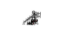 C=C1CC[C@@]2(O)[C@H]3Cc4ccc(O)c5c4[C@@]2(CCN3CC2CC2)[C@H]1O5.CCCCCCCCCCCC(=O)O